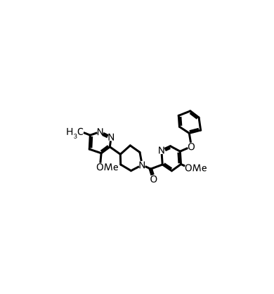 COc1cc(C(=O)N2CCC(c3nnc(C)cc3OC)CC2)ncc1Oc1ccccc1